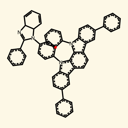 C1=CC2N=C(c3ccccc3)N(c3ccc(-n4c5ccc(-c6ccccc6)cc5c5ccc6c7cc(-c8ccccc8)ccc7n(-c7ccccc7)c6c54)cc3)C2C=C1